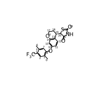 Cc1cc(C(F)(F)F)c(C)cc1Oc1ccc2c(c1)OCC[C@H]2C1SC(=O)NC1=O